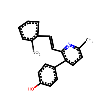 Cc1ccc(-c2ccc(O)cc2)c(C=Cc2ccccc2[N+](=O)[O-])n1